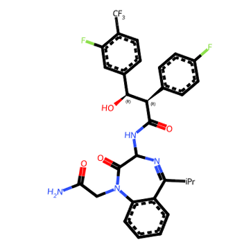 CC(C)C1=NC(NC(=O)[C@H](c2ccc(F)cc2)[C@@H](O)c2ccc(C(F)(F)F)c(F)c2)C(=O)N(CC(N)=O)c2ccccc21